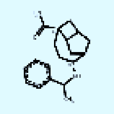 CC(N[C@@H]1CC[C@]2(C(N)=O)CC3CC1CC32)c1ccccc1